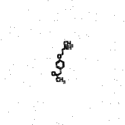 CNCCOc1ccc(CC(C)=O)cc1